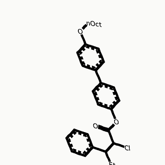 CCCCCCCCOc1ccc(-c2ccc(OC(=O)C(Cl)C(CC)c3ccccc3)cc2)cc1